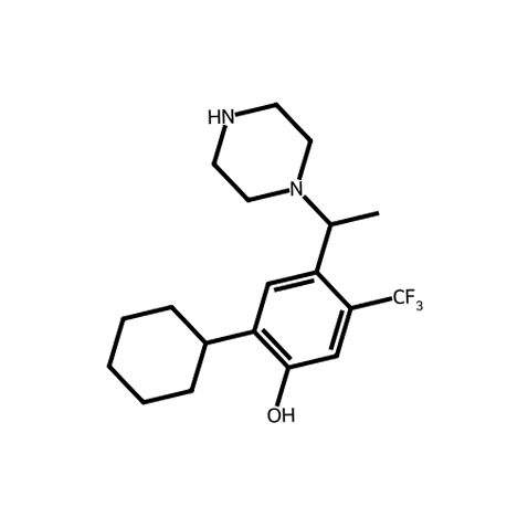 CC(c1cc(C2CCCCC2)c(O)cc1C(F)(F)F)N1CCNCC1